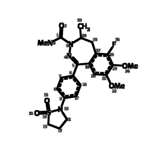 CNC(=O)N1N=C(c2ccc(N3CCCS3(=O)=O)cc2)c2cc(OC)c(OC)c(F)c2CC1C